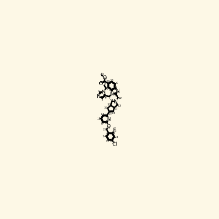 CCn1cncc1Cn1c(CN2CC3C=C(c4cccc(OCc5ccc(Cl)cc5F)n4)CC3C2)nc2ccc(C(=O)OC)cc21